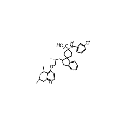 C[C@@H]1Cc2nccc(OC[C@H](C)CC3Cc4ccccc4C34CCC(Nc3cccc(Cl)c3)(C(=O)O)CC4)c2[C@H](C)C1